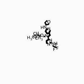 C[Si](C)(C)CCOCn1c(-c2ccnc(NCC(F)(F)F)n2)cc2cnc(N[C@@H]3CCOC3)cc21